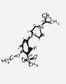 COc1ccc(N2CCN(C(C)C)CC2)cc1S(C)(=O)=O